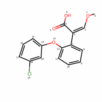 CO/C=C(\C(=O)O)c1ccccc1Oc1cccc(Cl)c1